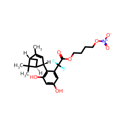 CC1=C[C@H](c2c(O)cc(O)cc2C(F)(F)C(=O)OCCCCO[N+](=O)[O-])[C@@H]2C[C@@H]1C2(C)C